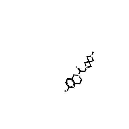 CC(C)c1ccc2c(n1)CCN(C(=O)CN1CC3(CN(C)C3)C1)C2